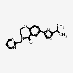 CC(C)c1nc(-c2ccc3c(c2)C(=O)N(Cc2ncccn2)CCO3)cs1